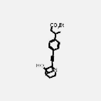 CCOC(=O)CC(C)c1ccc(C#CC2C(O)C3CCN2CC3)cc1